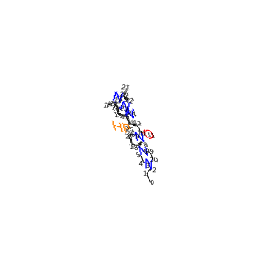 CCCN1CCN(C2=CN3C(=O)C=C(c4cc5c(C)nc(C)cn5n4)PC3C=C2)CC1